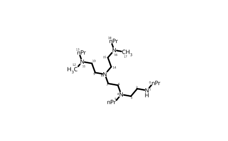 CCCNCCN(CCC)CCN(CCN(C)CCC)CCN(C)CCC